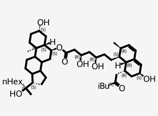 CCCCCC[C@](C)(O)[C@H]1CCC2C3C[C@H](OC(=O)C[C@H](O)C[C@H](O)CC[C@@H]4[C@@H]5C(=C[C@@H](O)C[C@@H]5CC(=O)[C@H](C)CC)C=C[C@@H]4C)[C@H]4C[C@@H](O)CC[C@]4(C)C3CCC21